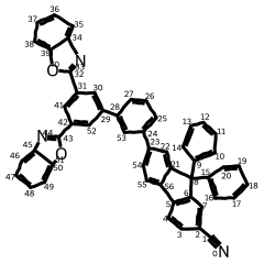 N#Cc1ccc2c(c1)C(c1ccccc1)(c1ccccc1)c1cc(-c3cccc(-c4cc(-c5nc6ccccc6o5)cc(-c5nc6ccccc6o5)c4)c3)ccc1-2